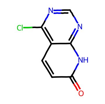 O=c1ccc2c(Cl)ncnc2[nH]1